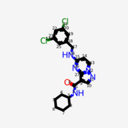 O=C(NC1CCCCC1)c1cnn2ccc(NCc3cc(Cl)cc(Cl)c3)nc12